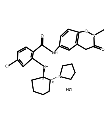 CN1Oc2ccc(NC(=O)c3ccc(Cl)cc3N[C@@H]3CCCC[C@H]3N3CCCC3)cc2CC1=O.Cl